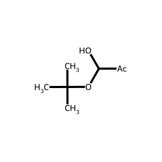 CC(=O)C(O)OC(C)(C)C